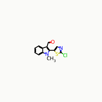 Cn1c(-c2cnc(Cl)s2)c(C=O)c2ccccc21